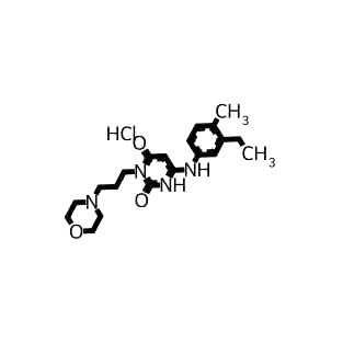 CCc1cc(Nc2cc(=O)n(CCCN3CCOCC3)c(=O)[nH]2)ccc1C.Cl